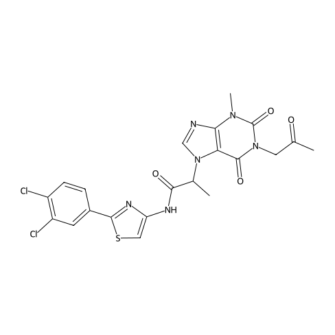 CC(=O)Cn1c(=O)c2c(ncn2C(C)C(=O)Nc2csc(-c3ccc(Cl)c(Cl)c3)n2)n(C)c1=O